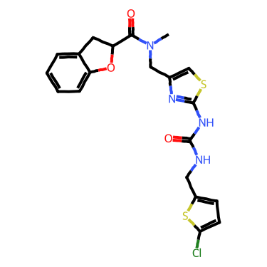 CN(Cc1csc(NC(=O)NCc2ccc(Cl)s2)n1)C(=O)C1Cc2ccccc2O1